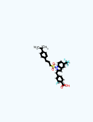 CC(C)c1ccc(C=CCS(=O)(=O)n2c(Cc3ccc(C(=O)O)c(F)c3)cc3cc(C(F)(F)F)ccc32)cc1